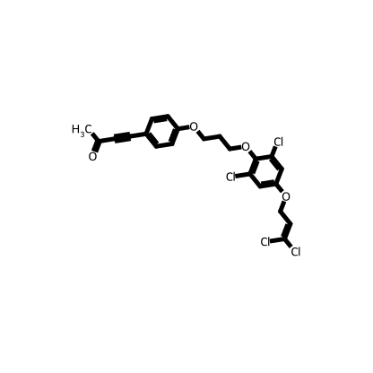 CC(=O)C#Cc1ccc(OCCCOc2c(Cl)cc(OCC=C(Cl)Cl)cc2Cl)cc1